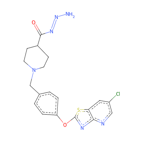 NN=NC(=O)C1CCN(Cc2ccc(Oc3nc4ncc(Cl)cc4s3)cc2)CC1